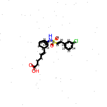 O=C(O)CCC/C=C/C1CC2CCC1C(NS(=O)(=O)/C=C/c1cccc(Cl)c1)C2